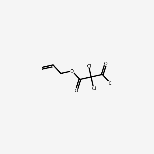 C=CCOC(=O)C(Cl)(Cl)C(=O)Cl